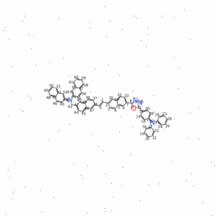 C(=C\c1ccc2cc(-c3nnc(-c4ccc(N(c5ccccc5)c5ccccc5)cc4)o3)ccc2c1)/c1ccc2cc(CN(c3ccc4ccccc4c3)c3ccc4ccccc4c3)ccc2c1